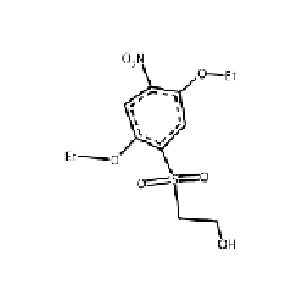 CCOc1cc(S(=O)(=O)CCO)c(OCC)cc1[N+](=O)[O-]